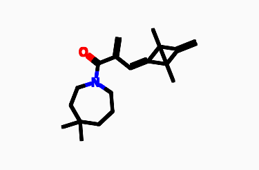 C=C(C=C1C2(C)C(=C)C12C)C(=O)N1CCCC(C)(C)CC1